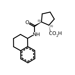 O=C(O)[C@H]1CCC[C@@H]1C(=O)NC1CCCc2ccccc21